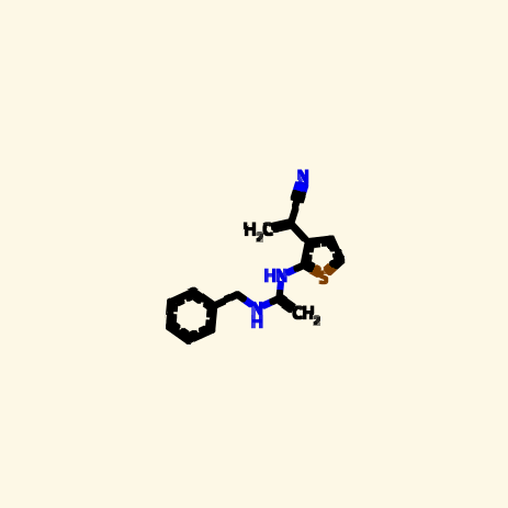 C=C(NCc1ccccc1)Nc1sccc1C(=C)C#N